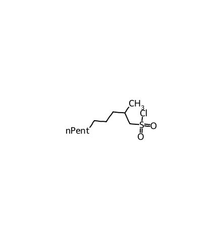 CCCCCCCCC(C)CS(=O)(=O)Cl